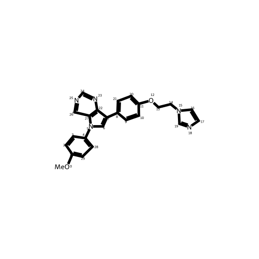 COc1ccc(-n2cc(-c3ccc(OCCn4ccnc4)cc3)c3ncn[c]c32)cc1